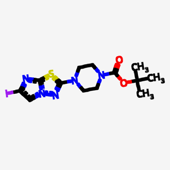 CC(C)(C)OC(=O)N1CCN(c2nn3cc(I)nc3s2)CC1